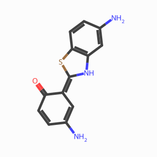 NC1=C/C(=C2\Nc3cc(N)ccc3S2)C(=O)C=C1